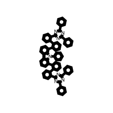 c1ccc(-c2nc(-c3ccccc3)nc(-c3ccccc3-c3ccccc3-c3cccc4c5cccc(-c6ccccc6-c6ccccc6-c6nc(-c7ccccc7)nc(-c7ccccc7)n6)c5n(-c5ccccc5)c34)n2)cc1